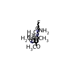 C=N/C=C\C1=C(C(C)=O)CN(C(C)/C(N)=C/C(C)=C(\N)OCCF)C1=O